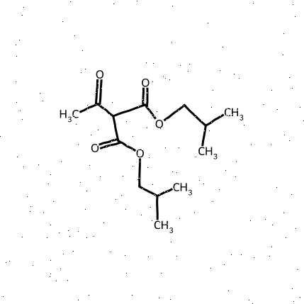 CC(=O)C(C(=O)OCC(C)C)C(=O)OCC(C)C